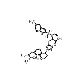 Cc1ccc2sc(S(=O)(=O)N3C=CNC(=O)C3Cc3cn(C4CCOc5cc(CN(C)C(C)C)ccc54)nn3)cc2c1